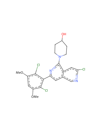 COc1cc(OC)c(Cl)c(-c2cc3cnc(Cl)cc3c(N3CCC(O)CC3)n2)c1Cl